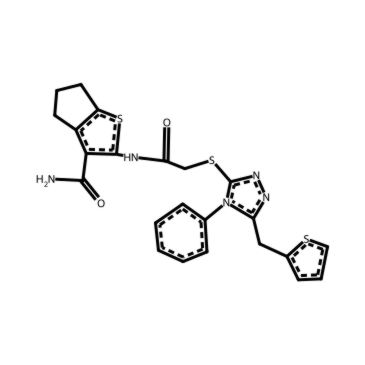 NC(=O)c1c(NC(=O)CSc2nnc(Cc3cccs3)n2-c2ccccc2)sc2c1CCC2